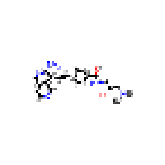 CCN(CC)CC(O)CNC(=O)c1ccc(C#Cc2c(N)ncc3ccncc23)cc1